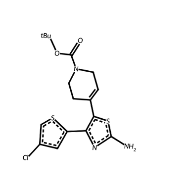 CC(C)(C)OC(=O)N1CC=C(c2sc(N)nc2-c2cc(Cl)cs2)CC1